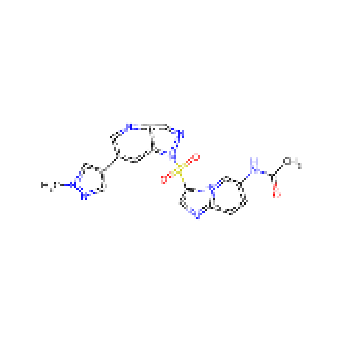 CC(=O)Nc1ccc2ncc(S(=O)(=O)n3ncc4ncc(-c5cnn(C)c5)cc43)n2c1